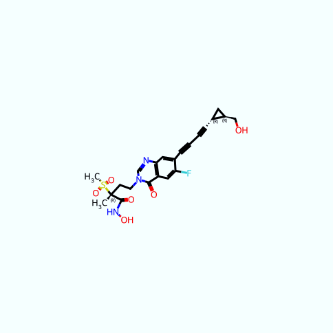 C[C@@](CCn1cnc2cc(C#CC#C[C@@H]3C[C@H]3CO)c(F)cc2c1=O)(C(=O)NO)S(C)(=O)=O